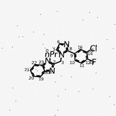 CCCn1c(Cn2ccnc2-c2ccc(F)c(Cl)c2)nc2ccccc21